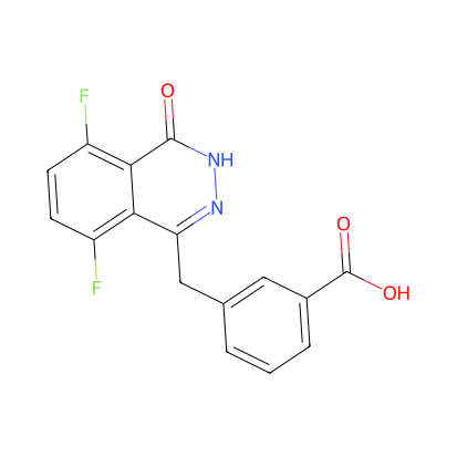 O=C(O)c1cccc(Cc2n[nH]c(=O)c3c(F)ccc(F)c23)c1